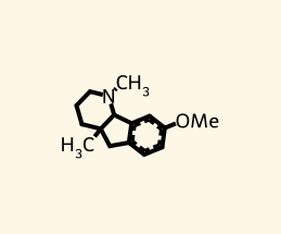 COc1ccc2c(c1)C1N(C)CCCC1(C)C2